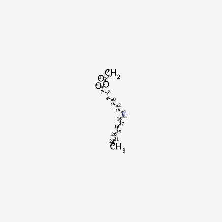 C=CC(=O)OC(=O)CCCCCCC/C=C\CCCCCCCC